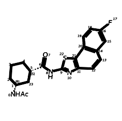 CC(=O)N[C@@H]1CCC[C@H](C(=O)Nc2nc3ccc4cc(F)ccc4c3s2)C1